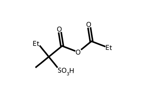 CCC(=O)OC(=O)C(C)(CC)S(=O)(=O)O